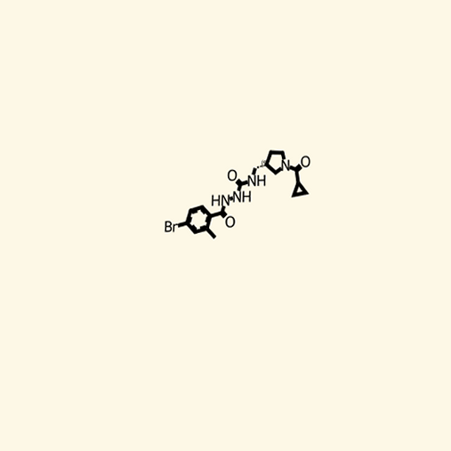 Cc1cc(Br)ccc1C(=O)NNC(=O)NC[C@@H]1CCN(C(=O)C2CC2)C1